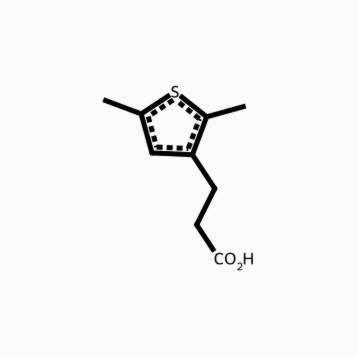 Cc1cc(CCC(=O)O)c(C)s1